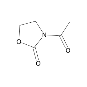 CC(=O)N1CCOC1=O